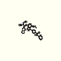 CC(C)/C=C(/N=O)C(=O)N1CC2CCCC2[C@H]1c1nc(-c2ccc(C(=O)Nc3ccccn3)cc2)c2c(N)nccn12